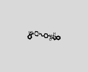 [O-][S+](NC1CCC(CCN2CCN(c3nsc4ccccc34)CC2)CC1)c1cc2ccccc2[nH]1